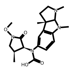 CON1C[C@H](C)[C@H](N(C(=O)O)c2ccc3c(c2)[C@]2(C)CCN(C)C2N3C)C1=O